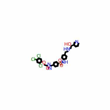 O=S(=O)(Nc1ccc(CCNCC(O)c2cccnc2)cc1)c1ccc(-c2noc(COc3cc(Cl)c(Cl)cc3Cl)n2)cc1